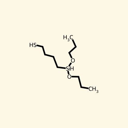 CCCO[SiH](CCCCS)OCCC